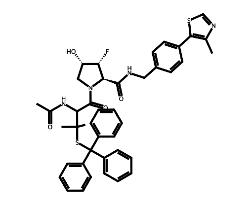 CC(=O)NC(C(=O)N1C[C@H](O)[C@H](F)[C@H]1C(=O)NCc1ccc(-c2scnc2C)cc1)C(C)(C)SC(c1ccccc1)(c1ccccc1)c1ccccc1